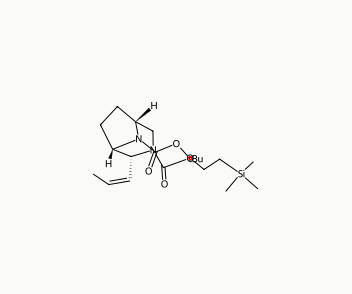 C/C=C\[C@@H]1[C@@H]2CC[C@H](CN1C(=O)OCC[Si](C)(C)C)N2C(=O)OC(C)(C)C